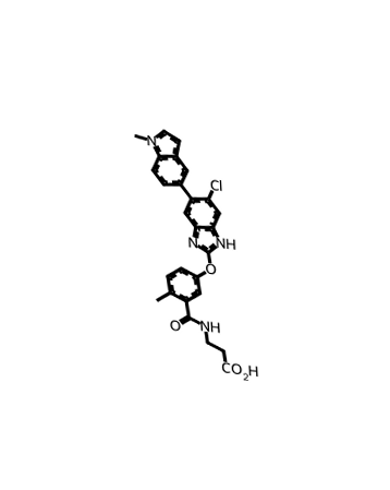 Cc1ccc(Oc2nc3cc(-c4ccc5c(ccn5C)c4)c(Cl)cc3[nH]2)cc1C(=O)NCCC(=O)O